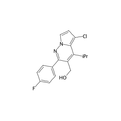 CC(C)c1c(CO)c(-c2ccc(F)cc2)nn2ccc(Cl)c12